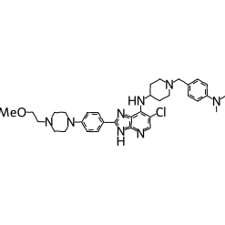 COCCN1CCN(c2ccc(-c3nc4c(NC5CCN(Cc6ccc(N(C)C)cc6)CC5)c(Cl)cnc4[nH]3)cc2)CC1